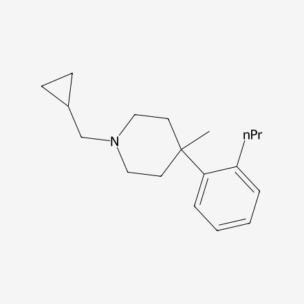 CCCc1ccccc1C1(C)CCN(CC2CC2)CC1